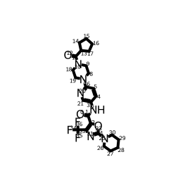 O=C(Nc1ccc(N2CCN(C(=O)C3CCCC3)CC2)nc1)c1oc(N2CCCCC2)nc1C(F)(F)F